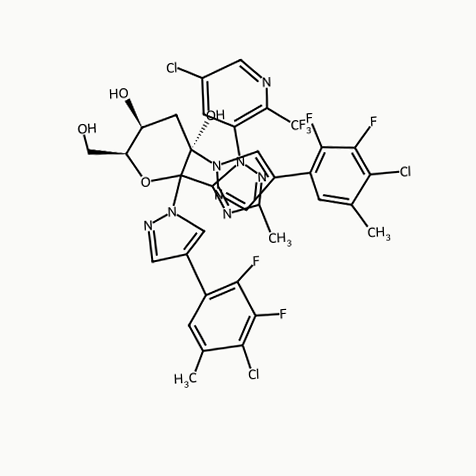 Cc1nc(C2(n3cc(-c4cc(C)c(Cl)c(F)c4F)cn3)O[C@@H](CO)[C@@H](O)C[C@@]2(O)n2cc(-c3cc(C)c(Cl)c(F)c3F)cn2)n(-c2cc(Cl)cnc2C(F)(F)F)n1